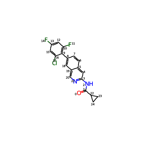 O=C(Nc1cc2ccc(-c3c(F)cc(F)cc3Cl)cc2cn1)C1CC1